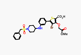 COC(=O)COc1c(C(=O)O)sc(-c2cccc(NC3CCN(S(=O)(=O)Cc4ccccc4)CC3)c2)c1Br